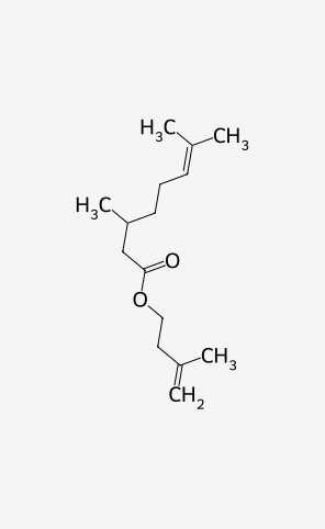 C=C(C)CCOC(=O)CC(C)CCC=C(C)C